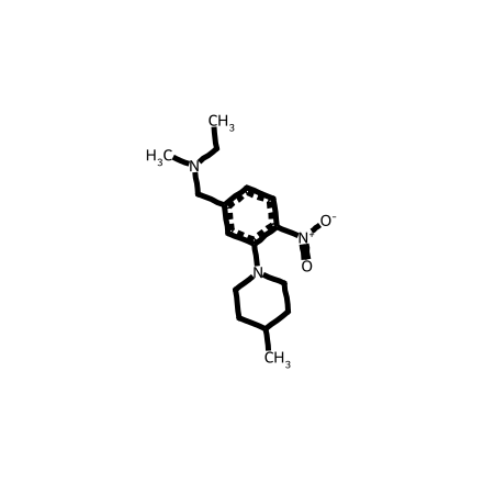 CCN(C)Cc1ccc([N+](=O)[O-])c(N2CCC(C)CC2)c1